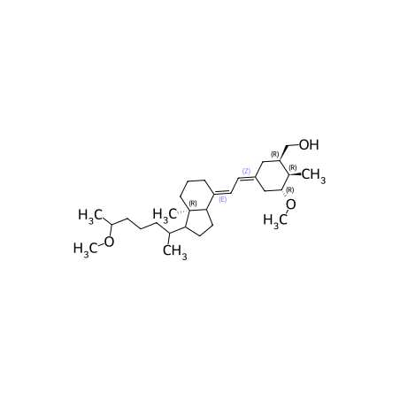 COC(C)CCCC(C)C1CCC2/C(=C/C=C3/C[C@@H](CO)[C@@H](C)[C@H](OC)C3)CCC[C@@]21C